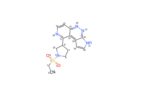 N#CCS(=O)(=O)N1CCC(c2nccc3nnc4[nH]ccc4c23)C1